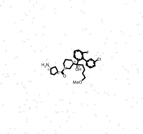 CCc1cccc(-c2c(F)cccc2[C@](O)(CCCCOC)[C@@H]2CCCN(C(=O)[C@@H]3CC[C@H](N)C3)C2)c1